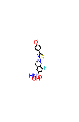 COc1ccc(-c2csc(N3CCc4cc(C(=O)NO)cc(F)c4C3)n2)cc1